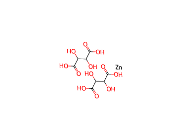 O=C(O)C(O)C(O)C(=O)O.O=C(O)C(O)C(O)C(=O)O.[Zn]